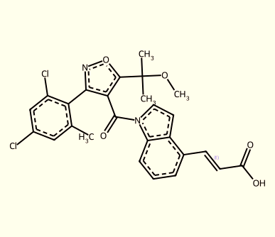 COC(C)(C)c1onc(-c2c(C)cc(Cl)cc2Cl)c1C(=O)n1ccc2c(/C=C/C(=O)O)cccc21